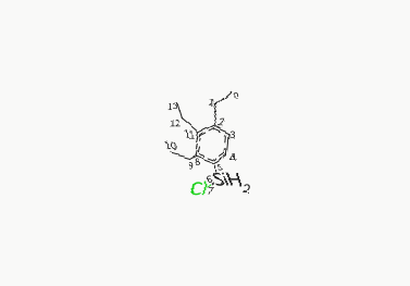 CCc1ccc([SiH2]Cl)c(CC)c1CC